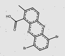 Cc1ccc2nc3c(Br)ccc(Br)c3nc2c1C(=O)O